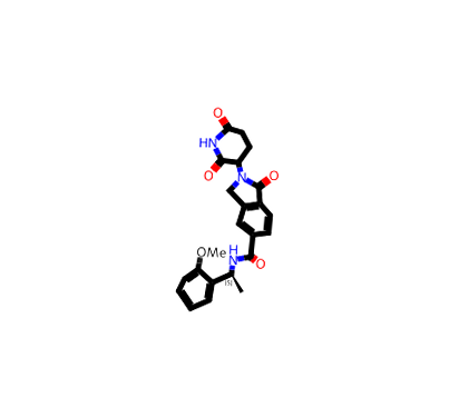 COc1ccccc1[C@H](C)NC(=O)c1ccc2c(c1)CN(C1CCC(=O)NC1=O)C2=O